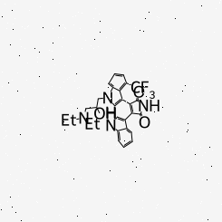 CCN(CC)CC(O)Cn1cc(C2=C(c3c[nH]c4ccccc34)C(=O)NC2=O)c2c(C(F)(F)F)cccc21